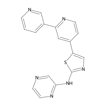 c1cncc(-c2cc(-c3cnc(Nc4cnccn4)s3)ccn2)c1